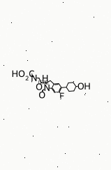 CN(C[C@@H]1OC(=O)N2c3cc(F)c(C4CCC(O)CC4)cc3C[C@@H]12)C(=O)O